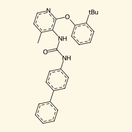 Cc1ccnc(Oc2ccccc2C(C)(C)C)c1NC(=O)Nc1ccc(-c2ccccc2)cc1